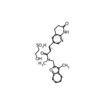 Cc1c(CN(C)C(=O)/C=C/c2cnc3c(c2)CCC(=O)N3)oc2ccccc12.O=S(=O)(O)CCO